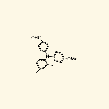 COc1ccc(N(c2ccc(C=O)cc2)c2ccc(C)cc2C)cc1